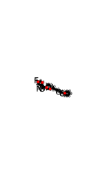 Fc1ccc2c(C3CCN(CCCOCOc4cc[c]cc4)CC3)onc2c1